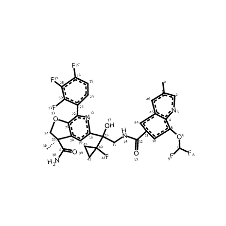 Cc1cnc2c(OC(F)F)cc(C(=O)NCC(O)(c3cc4c(c(-c5ccc(F)c(F)c5F)n3)OC[C@]4(C)C(N)=O)C3(F)CC3)cc2c1